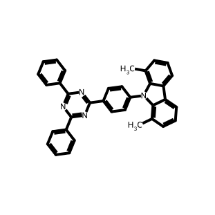 Cc1cccc2c3cccc(C)c3n(-c3ccc(-c4nc(-c5ccccc5)nc(-c5ccccc5)n4)cc3)c12